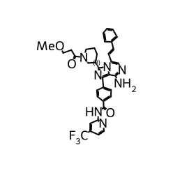 COCCC(=O)N1CCC[C@@H](c2nc(-c3ccc(C(=O)Nc4cc(C(F)(F)F)ccn4)cc3)c3c(N)ncc(C=Cc4ccccc4)n23)C1